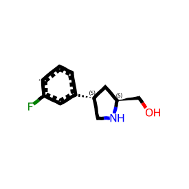 OC[C@@H]1C[C@@H](c2cc[c]c(F)c2)CN1